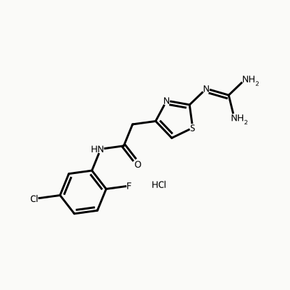 Cl.NC(N)=Nc1nc(CC(=O)Nc2cc(Cl)ccc2F)cs1